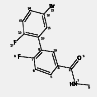 CNC(=O)c1ccc(F)c(-c2cc(Br)ccc2F)c1